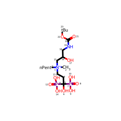 CCCCC[N+](C)(CCC(O)(P(=O)(O)O)P(=O)(O)O)CC(O)CNC(=O)OC(C)(C)C